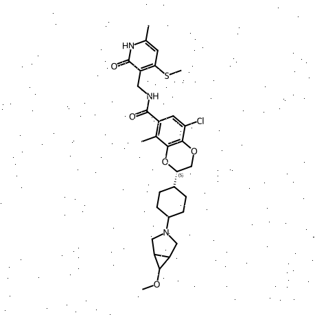 COC1C2CN(C3CCC([C@H]4COc5c(Cl)cc(C(=O)NCc6c(SC)cc(C)[nH]c6=O)c(C)c5O4)CC3)CC21